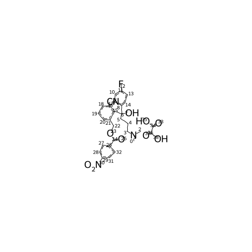 CN(C)CCCC(O)(c1ccc(F)cc1)c1c(C#N)cccc1COC(=O)c1ccc([N+](=O)[O-])cc1.O=C(O)C(=O)O